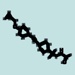 CC(=O)NCC(C)(C)c1ccc(C#Cc2ccc(OCC3CC3)cc2)cc1